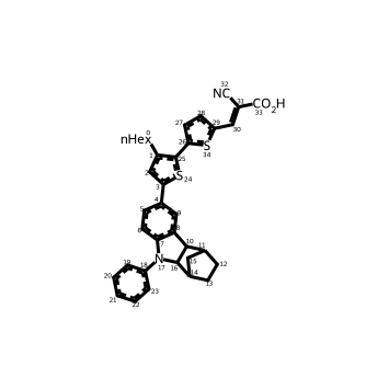 CCCCCCc1cc(-c2ccc3c(c2)C2C4CCC(C4)C2N3c2ccccc2)sc1-c1ccc(/C=C(\C#N)C(=O)O)s1